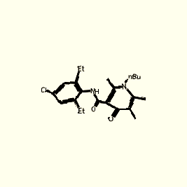 CCCCn1c(C)c(C)c(=O)c(C(=O)Nc2c(CC)cc(Cl)cc2CC)c1C